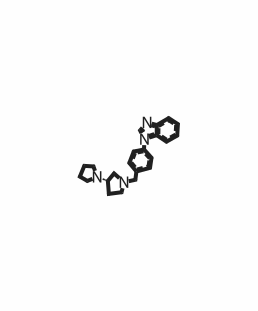 c1ccc2c(c1)ncn2-c1ccc(CN2CC[C@H](N3CCCC3)C2)cc1